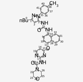 CCCCc1cc(NC(=O)Nc2ccc(Oc3ccnc(NC(=O)N4CCOCC4)n3)c3ccccc23)n(-c2ccc(C)cc2)n1